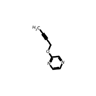 CC#CCOc1cnccn1